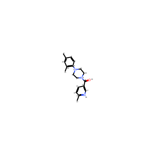 Cc1ccc(N2CCN(C(=O)c3ccc(C)nc3)CC2)c(C)c1